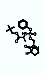 C[C@H](NP(=O)(OC[C@@H]1C(=O)[C@H]2CCN1C2)Oc1ccccc1)C(=O)OCC(C)(C)C